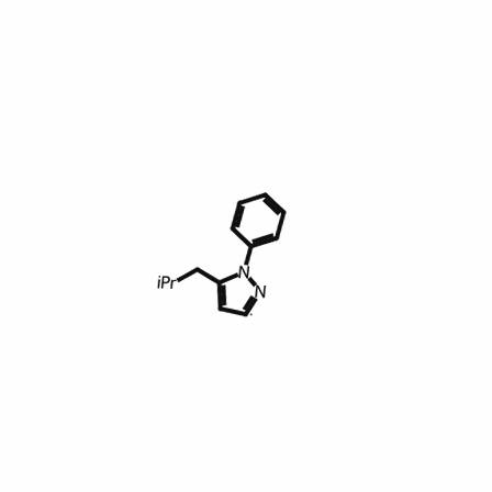 CC(C)Cc1c[c]nn1-c1ccccc1